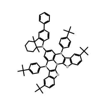 CC(C)(C)c1ccc(N2c3cc(N4c5ccc(-c6ccccc6)cc5C5(C)CCCCC45C)cc4c3B(c3oc5ccc(C(C)(C)C)cc5c32)c2oc3ccc(C(C)(C)C)cc3c2N4c2ccc(C(C)(C)C)cc2)cc1